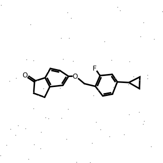 O=C1CCc2cc(OCc3ccc(C4CC4)cc3F)ccc21